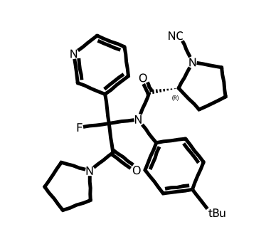 CC(C)(C)c1ccc(N(C(=O)[C@H]2CCCN2C#N)C(F)(C(=O)N2CCCC2)c2cccnc2)cc1